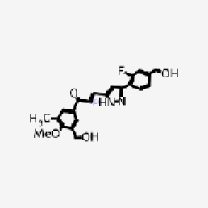 COc1c(C)cc(C(=O)/C=C/c2cc(-c3ccc(CO)cc3F)n[nH]2)cc1CO